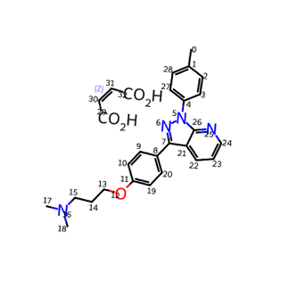 Cc1ccc(-n2nc(-c3ccc(OCCCN(C)C)cc3)c3cccnc32)cc1.O=C(O)/C=C\C(=O)O